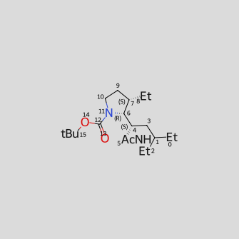 CCC(CC)C[C@H](NC(C)=O)[C@H]1[C@@H](CC)CCN1C(=O)OC(C)(C)C